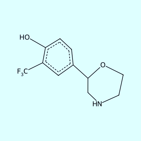 Oc1ccc(C2CNCCO2)cc1C(F)(F)F